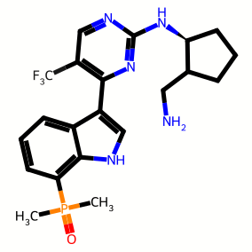 CP(C)(=O)c1cccc2c(-c3nc(N[C@H]4CCCC4CN)ncc3C(F)(F)F)c[nH]c12